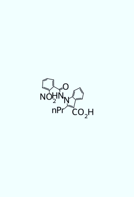 CCCc1c(C(=O)O)c2ccccc2n1NC(=O)c1ccccc1[N+](=O)[O-]